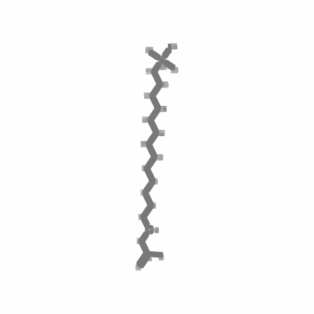 C=C(C)COCCCCCCCCCCCCC[Si](C)(C)I